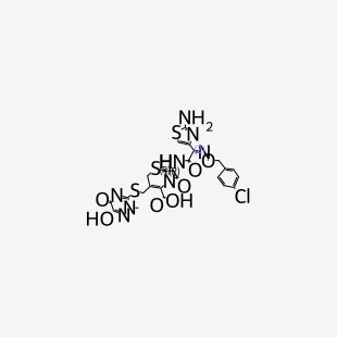 Cn1nc(O)c(=O)nc1SCC1=C(C(=O)O)N2C(=O)[C@@H](NC(=O)/C(=N\OCc3ccc(Cl)cc3)c3csc(N)n3)[C@H]2SC1